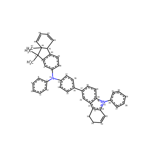 CC1(C)c2cc(N(c3ccccc3)c3ccc(-c4ccc5c(c4)c4c(n5-c5ccccc5)C=CCC4)cc3)ccc2C2C=CC=CC21C